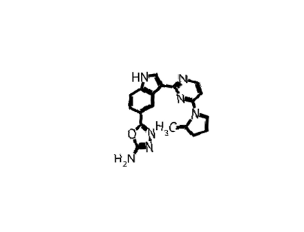 CC1CCCN1c1ccnc(-c2c[nH]c3ccc(-c4nnc(N)o4)cc23)n1